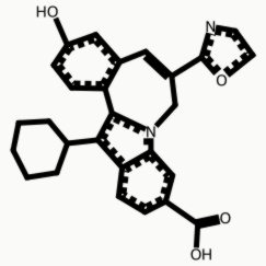 O=C(O)c1ccc2c(C3CCCCC3)c3n(c2c1)CC(c1ncco1)=Cc1cc(O)ccc1-3